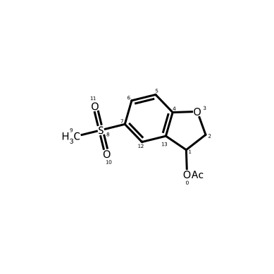 CC(=O)OC1COc2ccc(S(C)(=O)=O)cc21